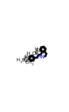 C[SiH](C)C(Cc1ccc([Si](C)(C)C)cc1)C1NCCc2ccccc21